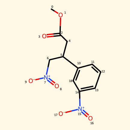 COC(=O)CC(C[N+](=O)[O-])c1cccc([N+](=O)[O-])c1